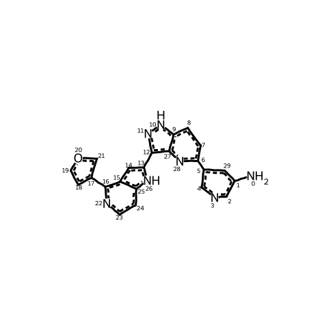 Nc1cncc(-c2ccc3[nH]nc(-c4cc5c(-c6ccoc6)nccc5[nH]4)c3n2)c1